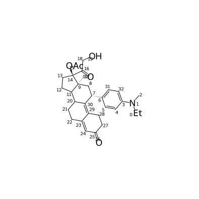 CCN(C)c1ccc([C@H]2C[C@@]3(C)C(CC[C@]3(OC(C)=O)C(=O)CO)C3CCC4=CC(=O)CCC4=C32)cc1